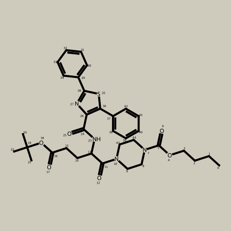 CCCCOC(=O)N1CCN(C(=O)C(CCC(=O)OC(C)(C)C)NC(=O)c2nc(-c3ccccc3)sc2-c2ccccc2)CC1